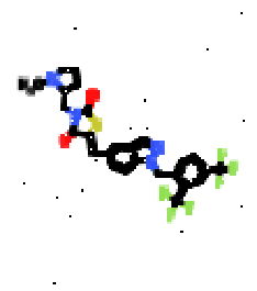 CN1CCC[C@H]1CN1C(=O)SC(=Cc2ccc3c(cnn3Cc3ccc(C(F)(F)F)cc3C(F)(F)F)c2)C1=O